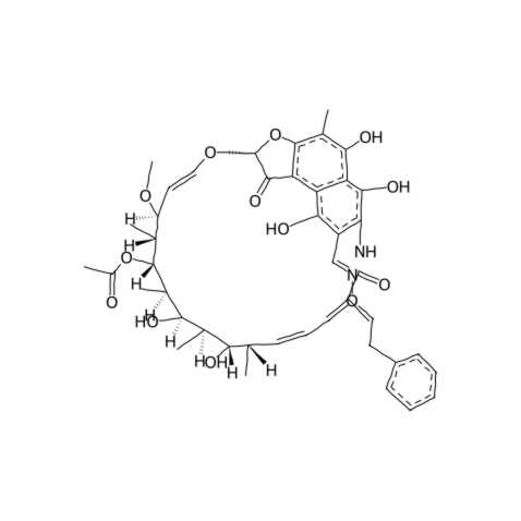 CO[C@H]1/C=C/O[C@@]2(C)Oc3c(C)c(O)c4c(O)c(c(/C=N/OCCc5ccccc5)c(O)c4c3C2=O)NC(=O)/C(C)=C\C=C\[C@H](C)[C@H](O)[C@@H](C)[C@@H](O)[C@@H](C)[C@H](OC(C)=O)[C@@H]1C